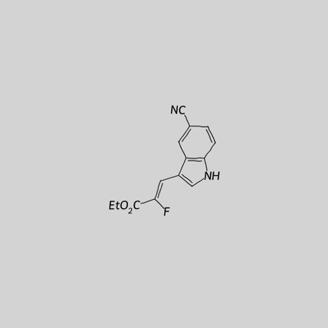 CCOC(=O)C(F)=Cc1c[nH]c2ccc(C#N)cc12